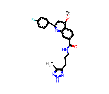 CCOc1cc(-c2ccc(F)cc2)nc2cc(C(=O)NCCCc3n[nH]nc3C)ccc12